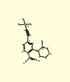 C[C@H]1COCCN1c1cc(C#C[Si](C)(C)C)cnc1[N+](=O)[O-]